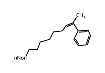 CCCCCCCCCCCCCCC/C=C(/C)c1ccccc1